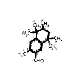 Cc1cc2c(cc1C=O)C(C)(C)CC(C)C2(C)C